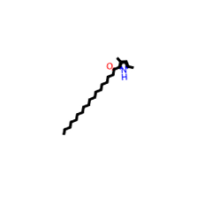 CCCCCCCCCCCCCCCCCC(=O)c1[nH]c(C)cc1C